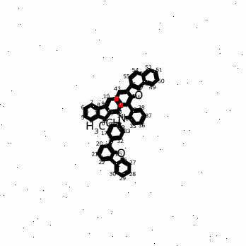 CC1(C)c2ccccc2-c2cccc(N(c3ccc(-c4cccc5c4oc4ccccc45)cc3)c3ccccc3-c3cccc4c3oc3c5ccccc5ccc43)c21